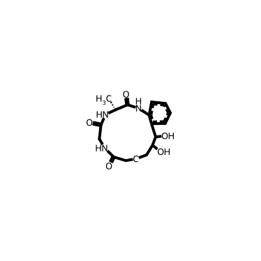 C[C@H]1NC(=O)CNC(=O)CCCC(O)C(O)c2ccccc2NC1=O